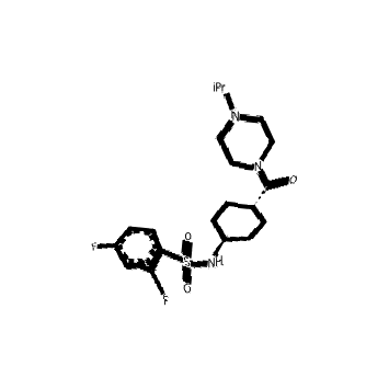 CC(C)N1CCN(C(=O)[C@H]2CC[C@H](NS(=O)(=O)c3ccc(F)cc3F)CC2)CC1